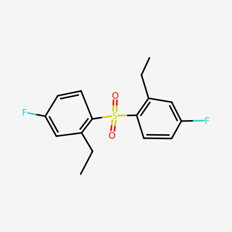 CCc1cc(F)ccc1S(=O)(=O)c1ccc(F)cc1CC